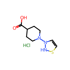 Cl.O=C(O)C1CCN(N2C=CSN2)CC1